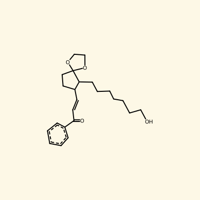 O=C(C=CC1CCC2(OCCO2)C1CCCCCCCO)c1ccccc1